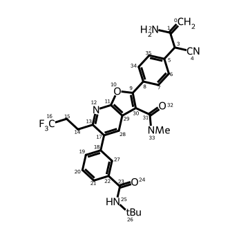 C=C(N)C(C#N)c1ccc(-c2oc3nc(CCC(F)(F)F)c(-c4cccc(C(=O)NC(C)(C)C)c4)cc3c2C(=O)NC)cc1